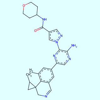 Cc1cc(-c2cnc(N)c(-n3cc(C(=O)NC4CCOCC4)cn3)n2)cc2c1C1(CN=C2)CC1C